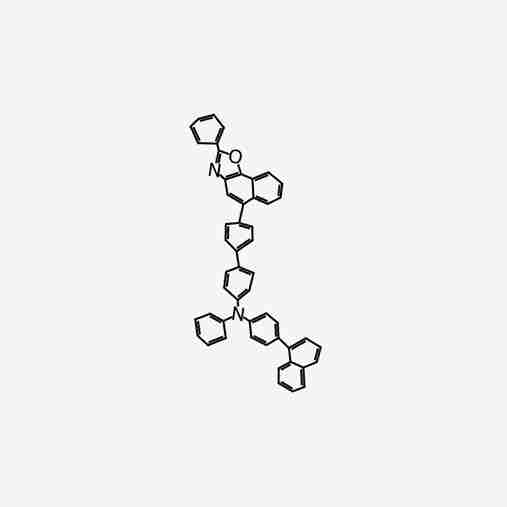 c1ccc(-c2nc3cc(-c4ccc(-c5ccc(N(c6ccccc6)c6ccc(-c7cccc8ccccc78)cc6)cc5)cc4)c4ccccc4c3o2)cc1